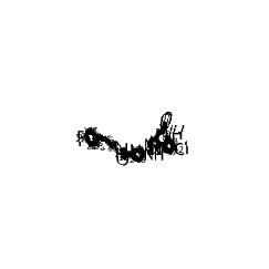 O=C1Cc2cnc(Nc3ccc(C(=O)NCCc4ccc(F)cc4)cc3)nc2-c2ccc(Cl)cc2N1